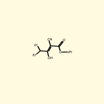 CCCOC(=O)C(C#N)=C(O)C(CC)CC